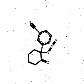 N#Cc1cccc(C2(N=[N+]=[N-])CCCCC2=O)c1